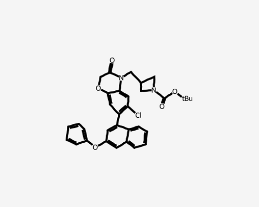 CC(C)(C)OC(=O)N1CC(CN2C(=O)COc3cc(-c4cc(Oc5ccccc5)cc5ccccc45)c(Cl)cc32)C1